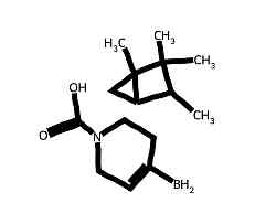 BC1=CCN(C(=O)O)CC1.CC1C2CC2(C)C1(C)C